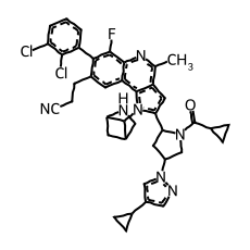 Cc1nc2c(F)c(-c3cccc(Cl)c3Cl)c(CCC#N)cc2c2c1cc(C1CC(n3cc(C4CC4)cn3)CN1C(=O)C1CC1)n2C1C2CNC1C2